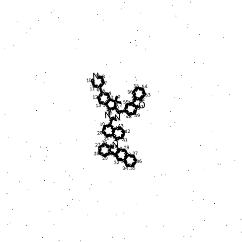 CC1(C)c2cc(-c3ccncc3)ccc2-c2nc(-c3cccc4c(-n5c6ccccc6c6cc7ccccc7cc65)cccc34)nc(-c3ccc4oc5ccccc5c4c3)c21